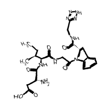 CC[C@H](C)[C@H](NC(=O)[C@H](N)CC(=O)O)C(=O)NCC(=O)N1c2ccccc2C[C@H]1C(=O)NCc1nn[nH]n1